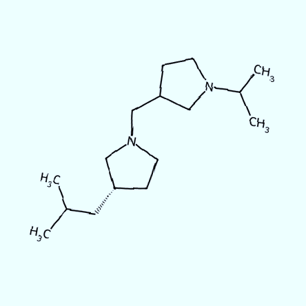 CC(C)C[C@H]1CCN(CC2CCN(C(C)C)C2)C1